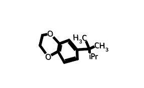 CC(C)C(C)(C)c1ccc2c(c1)OCCO2